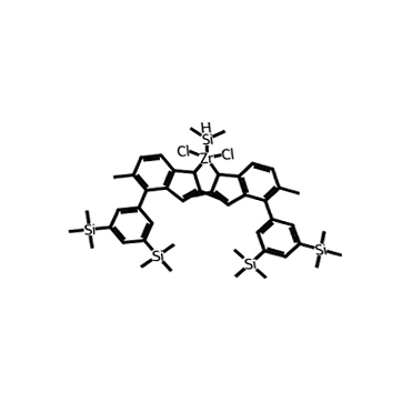 CC1=Cc2c(ccc(C)c2-c2cc([Si](C)(C)C)cc([Si](C)(C)C)c2)[CH]1[Zr]([Cl])([Cl])([CH]1C(C)=Cc2c1ccc(C)c2-c1cc([Si](C)(C)C)cc([Si](C)(C)C)c1)[SiH](C)C